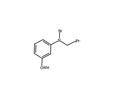 COc1cccc(N(Br)C[C](C)C)c1